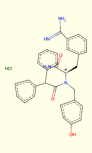 Cl.N=C(N)c1cccc(C[C@H](C(N)=O)N(Cc2ccc(O)cc2)C(=O)C(c2ccccc2)c2ccccc2)c1